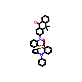 CC1(C)c2ccccc2C(=O)c2ccc(N3c4ccccc4[Si]4(c5ccccc5N(c5ccccc5)c5ccccc54)c4ccccc43)cc21